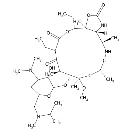 CCC1C(=O)O[C@H](CC)[C@@]2(C)OC(=O)N[C@@H]2[C@@H](C)NC[C@H](C)C[C@@](C)(OC)[C@H](OC2OC(CN(C)C(C)C)CC(N(C)C)C2O)[C@@H](C)C1=O